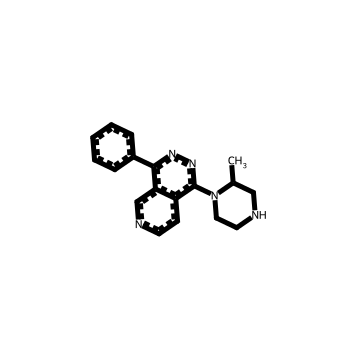 CC1CNCCN1c1nnc(-c2ccccc2)c2cnccc12